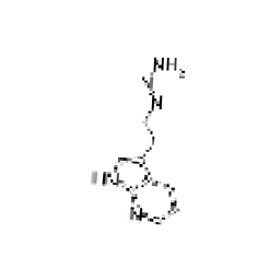 NN=NCCc1c[nH]c2ncccc12